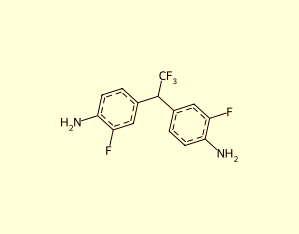 Nc1ccc(C(c2ccc(N)c(F)c2)C(F)(F)F)cc1F